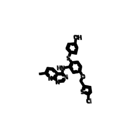 Cc1ccc2c(Nc3cc(OCc4ccc(Cl)s4)ccc3Sc3ccc(O)cc3)ncnc2n1